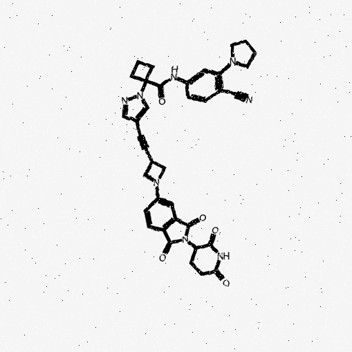 N#Cc1ccc(NC(=O)C2(n3cc(C#CC4CN(c5ccc6c(c5)C(=O)N(C5CCC(=O)NC5=O)C6=O)C4)cn3)CCC2)cc1N1CCCC1